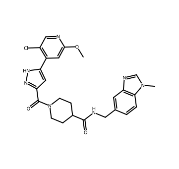 COc1cc(-c2cc(C(=O)N3CCC(C(=O)NCc4ccc5c(c4)ncn5C)CC3)n[nH]2)c(Cl)cn1